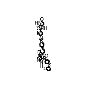 Nc1ncnc2c1n(-c1ccc(Oc3ccccc3)cc1)c(=O)n2[C@@H]1CCN(C2CCN(C3CN(c4ccc(C(=O)N[C@@H]5CCC(=O)NC5=O)nc4)C3)CC2)CC1(F)F